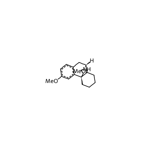 COc1ccc2c(c1)[C@@]13CCCC[C@@]1(OC)[C@@H](C2)NCC3